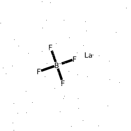 F[B-](F)(F)F.[La]